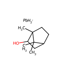 CC1(C)C2CCC1(C)C(O)C2.[PbH2]